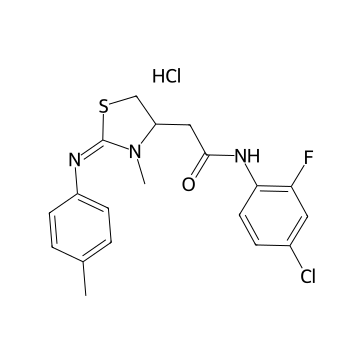 Cc1ccc(N=C2SCC(CC(=O)Nc3ccc(Cl)cc3F)N2C)cc1.Cl